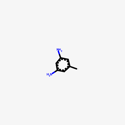 [CH2]c1cc(N)cc(N)c1